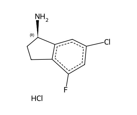 Cl.N[C@@H]1CCc2c(F)cc(Cl)cc21